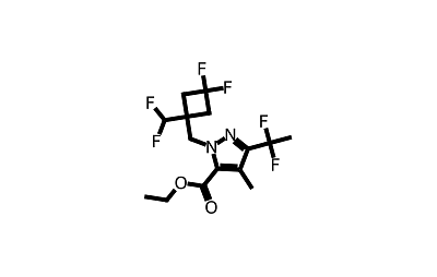 CCOC(=O)c1c(C)c(C(C)(F)F)nn1CC1(C(F)F)CC(F)(F)C1